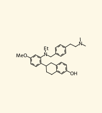 CCN(Cc1ccc(CCN(C)C)cc1)c1cc(OC)ccc1C1CCc2cc(O)ccc2C1